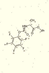 CC(C)OC(=O)[C@@H](C)N[PH](=O)Oc1c(F)c(F)c(F)c(F)c1F